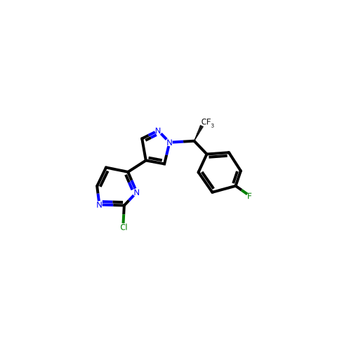 Fc1ccc([C@@H](n2cc(-c3ccnc(Cl)n3)cn2)C(F)(F)F)cc1